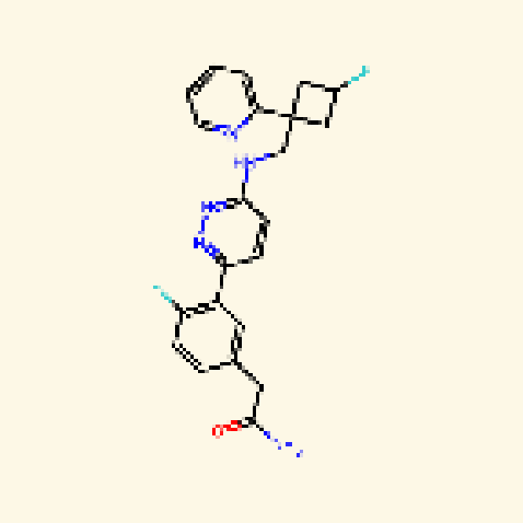 NC(=O)Cc1ccc(F)c(-c2ccc(NCC3(c4ccccn4)CC(F)C3)nn2)c1